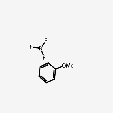 COc1ccccc1.FB(F)F